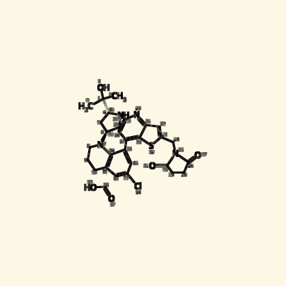 CC(C)(O)[C@H]1C[C@H](N2CCCc3cc(Cl)cc(-c4ccnc5cc(CN6C(=O)CCC6=O)sc45)c32)CN1.O=CO